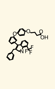 O=C(O)CCCOc1ccc(Oc2cccc(-c3c(Cc4ccccc4)cnc4c(C(F)(F)F)cccc34)c2)cc1